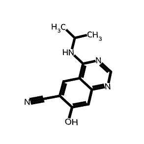 CC(C)Nc1ncnc2cc(O)c(C#N)cc12